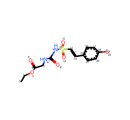 CCOC(=O)CNC(=O)NS(=O)(=O)/C=C/c1ccc(Br)cc1